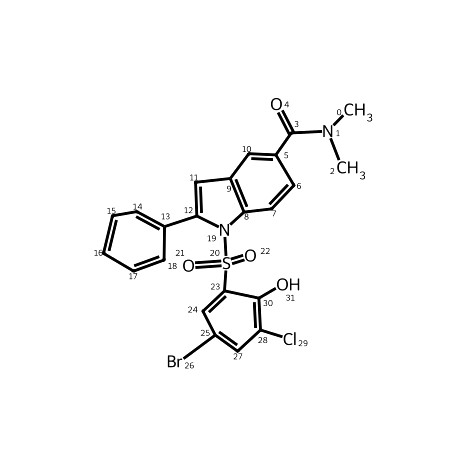 CN(C)C(=O)c1ccc2c(c1)cc(-c1ccccc1)n2S(=O)(=O)c1cc(Br)cc(Cl)c1O